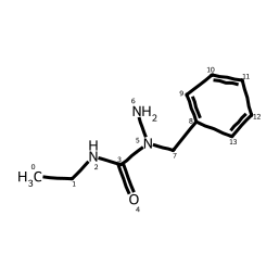 CCNC(=O)N(N)Cc1ccccc1